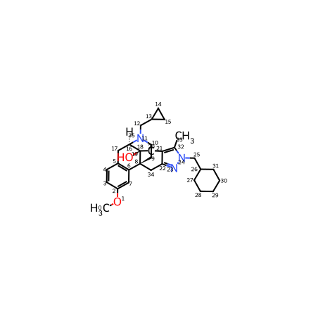 COc1ccc2c(c1)[C@]13CCN(CC4CC4)[C@H](C2)[C@]1(O)Cc1c(nn(CC2CCCCC2)c1C)C3